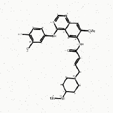 COc1cc2ncnc(Nc3ccc(F)c(Cl)c3)c2cc1NC(=O)/C=C/CN1CCC(NC(C)(C)C)CC1